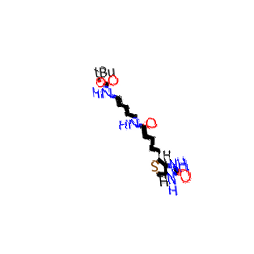 CC(C)(C)OC(=O)NCCCCCNC(=O)CCCC[C@@H]1SC[C@@H]2NC(=O)N[C@@H]21